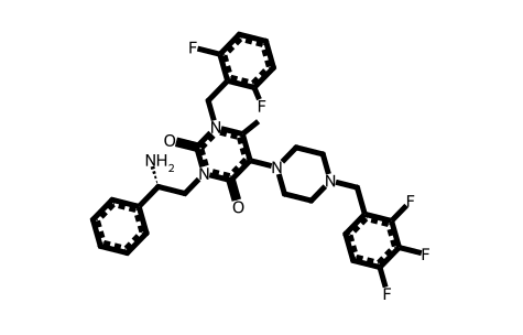 Cc1c(N2CCN(Cc3ccc(F)c(F)c3F)CC2)c(=O)n(C[C@@H](N)c2ccccc2)c(=O)n1Cc1c(F)cccc1F